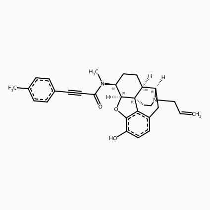 C=CCN1CC[C@]23c4c5ccc(O)c4O[C@H]2[C@@H](N(C)C(=O)C#Cc2ccc(C(F)(F)F)cc2)CC[C@H]3[C@H]1C5